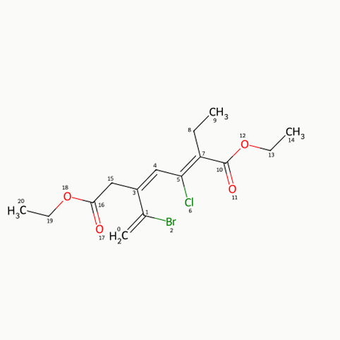 C=C(Br)/C(=C\C(Cl)=C(/CC)C(=O)OCC)CC(=O)OCC